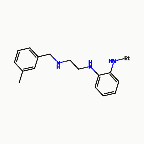 CCNc1ccccc1NCCNCc1cccc(C)c1